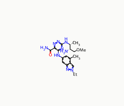 CCn1cc2c(C)cc(Nc3nc(N[C@H](C)[C@@H](N)COC)nnc3C(N)=O)cc2n1